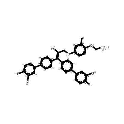 CCC(COc1ccc(OCC(=O)O)c(C)c1)=C(c1ccc(-c2ccc(F)c(Cl)c2)cc1)c1ccc(-c2ccc(F)c(Cl)c2)cc1